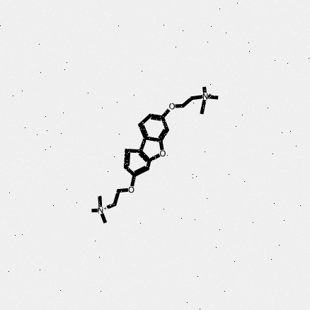 C[N+](C)(C)CCOc1ccc2c(c1)oc1cc(OCC[N+](C)(C)C)ccc12